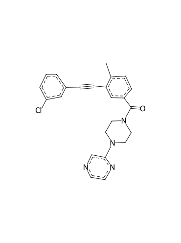 Cc1ccc(C(=O)N2CCN(c3cnccn3)CC2)cc1C#Cc1cccc(Cl)c1